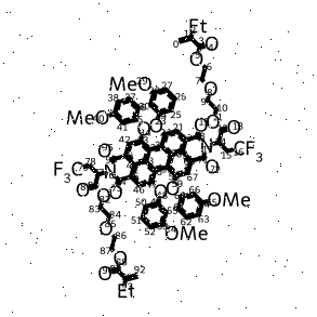 C=C(CC)C(=O)OCCOCCOC(=O)C(CC(F)(F)F)N1C(=O)c2cc(Oc3cccc(OC)c3)c3c4c(Oc5cccc(OC)c5)cc5c6c(cc(Oc7cccc(OC)c7)c(c7c(Oc8cccc(OC)c8)cc(c2c37)C1=O)c64)C(=O)N(C(CC(F)(F)F)C(=O)OCCOCCOC(=O)C(=C)CC)C5=O